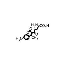 Cc1c(C(=O)CCC(N)C(=O)O)c(=O)oc2cc(N)ccc12